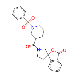 O=C1OC2(CCN(C(=O)C3CCCN(S(=O)(=O)c4ccccc4)C3)C2)c2ccccc21